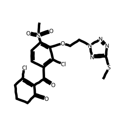 CSc1nnn(CCOc2c(S(C)(=O)=O)ccc(C(=O)C3=C(Cl)CCCC3=O)c2Cl)n1